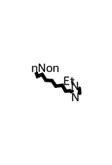 CCCCCCCCCCCCCCCCC1=NCCN1CC